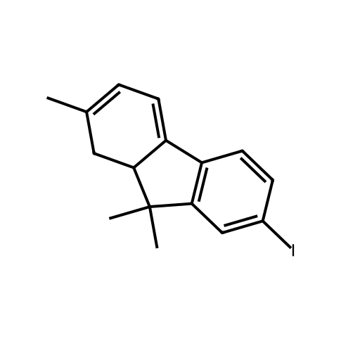 CC1=CC=C2c3ccc(I)cc3C(C)(C)C2C1